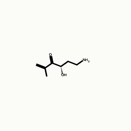 C=C(C)C(=O)[C@@H](O)CCN